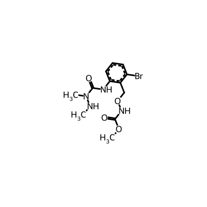 CNN(C)C(=O)Nc1cccc(Br)c1CONC(=O)OC